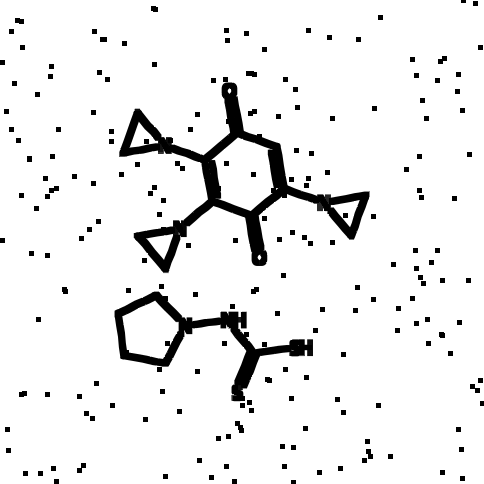 O=C1C=C(N2CC2)C(=O)C(N2CC2)=C1N1CC1.S=C(S)NN1CCCC1